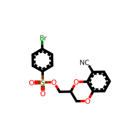 N#Cc1cccc2c1OC(COS(=O)(=O)c1ccc(Br)cc1)CO2